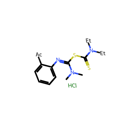 CCN(CC)C(=S)S/C(=N/c1ccccc1C(C)=O)N(C)C.Cl